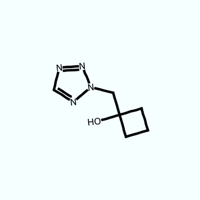 OC1(Cn2ncnn2)CCC1